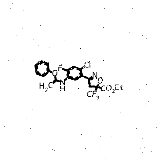 C=C(Nc1cc(C2=NOC(C(=O)OCC)(C(F)(F)F)C2)c(Cl)cc1F)Oc1ccccc1